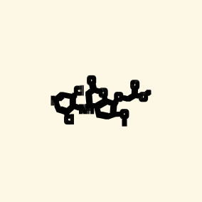 COC(=O)COc1c(OC)ccc2c(Nc3c(Cl)cncc3Cl)cc(=O)oc12